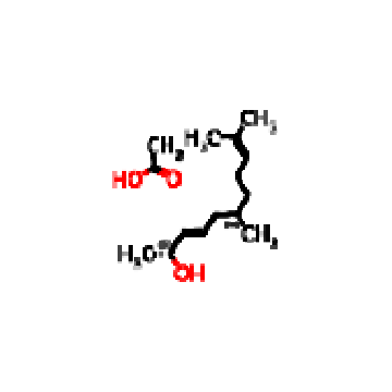 CC(=O)O.CC(C)=CCC[C@@H](C)CC=C[C@@H](C)O